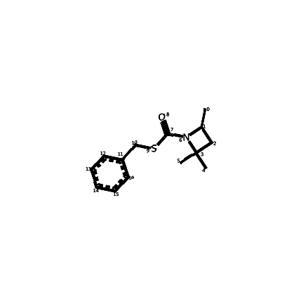 CC1CC(C)(C)N1C(=O)SCc1ccccc1